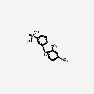 O=[N+]([O-])c1ccc(Nc2cccc(P(=O)(O)O)c2)c([N+](=O)[O-])c1